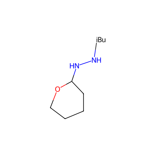 CCC(C)NNC1CCCCO1